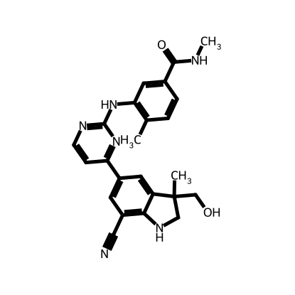 CNC(=O)c1ccc(C)c(Nc2nccc(-c3cc(C#N)c4c(c3)C(C)(CO)CN4)n2)c1